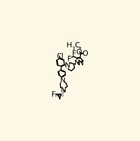 CCOC(=O)c1cnn(C2CCCN(c3cc(Cl)ccc3-c3ccc(N4CCN(C[C@@H]5C[C@H]5F)CC4)cc3)C2)c1C(F)F